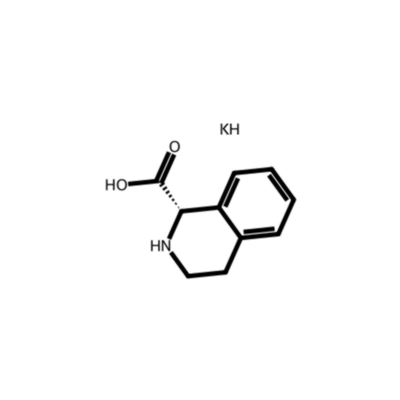 O=C(O)[C@H]1NCCc2ccccc21.[KH]